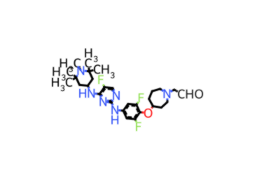 CN1C(C)(C)CC(Nc2nc(Nc3cc(F)c(OC4CCCN(CC=O)CC4)c(F)c3)ncc2F)CC1(C)C